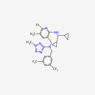 CCc1nc(NC(C2CC2)C2CC2)c(CN(Cc2cc(C(F)(F)F)cc(C(F)(F)F)c2)c2nnn(C)n2)cc1C